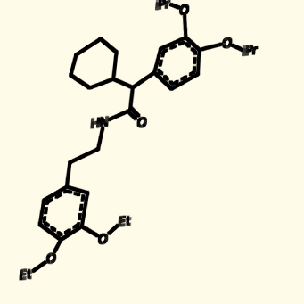 CCOc1ccc(CCNC(=O)C(c2ccc(OC(C)C)c(OC(C)C)c2)C2CCCCC2)cc1OCC